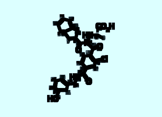 C[C@H](NN(C(=O)c1cc2ccccc2s1)C(=O)c1ccc(C(=O)NCc2cccc(O)c2)cc1Cl)C(=O)O